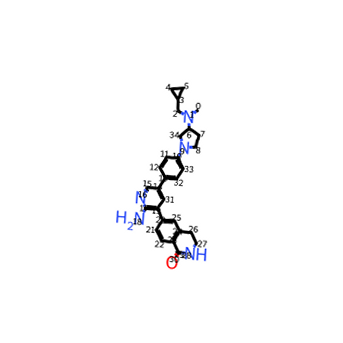 CN(CC1CC1)C1CCN(c2ccc(-c3cnc(N)c(-c4ccc5c(c4)CCNC5=O)c3)cc2)C1